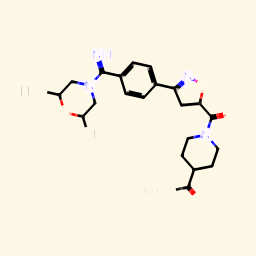 CC1CN(C(=N)c2ccc(C3=NOC(C(=O)N4CCC(C(=O)C(=O)O)CC4)C3)cc2)CC(C)O1